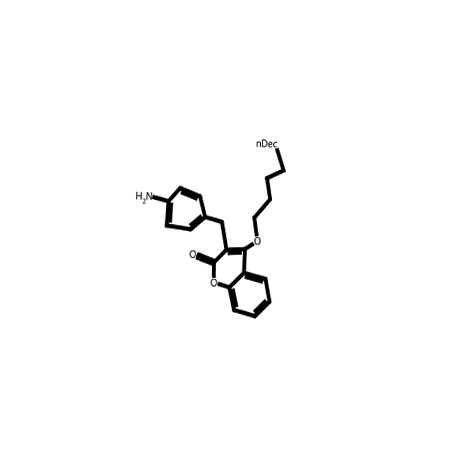 CCCCCCCCCCCCCCOc1c(Cc2ccc(N)cc2)c(=O)oc2ccccc12